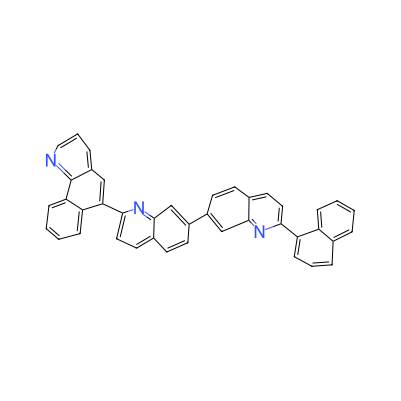 c1ccc2c(-c3ccc4ccc(-c5ccc6ccc(-c7cc8cccnc8c8ccccc78)nc6c5)cc4n3)cccc2c1